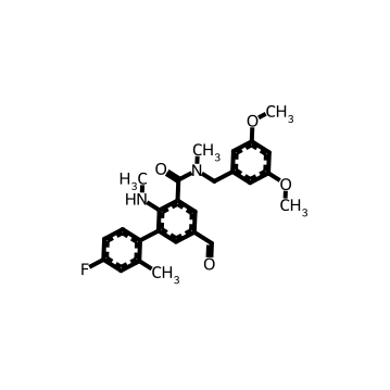 CNc1c(C(=O)N(C)Cc2cc(OC)cc(OC)c2)cc(C=O)cc1-c1ccc(F)cc1C